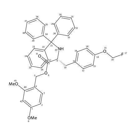 COc1ccc(COC(=O)[C@@H](Cc2ccc(OCF)cc2)NC(c2ccccc2)(c2ccccc2)c2ccccc2)c(OC)c1